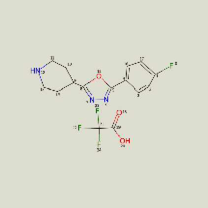 Fc1ccc(-c2nnc(C3CCNCC3)o2)cc1.O=C(O)C(F)(F)F